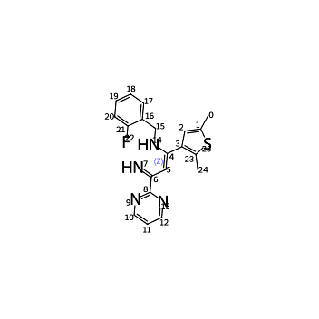 Cc1cc(/C(=C/C(=N)c2ncccn2)NCc2ccccc2F)c(C)s1